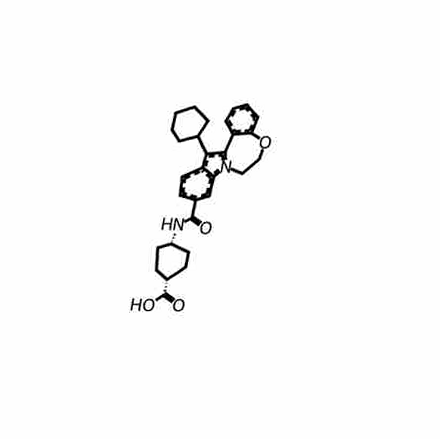 O=C(N[C@H]1CC[C@@H](C(=O)O)CC1)c1ccc2c(C3CCCCC3)c3n(c2c1)CCOc1ccccc1-3